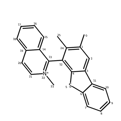 Cc1cc2c(sc3ccccc32)c(-c2c3ccccc3cc[n+]2C)c1C